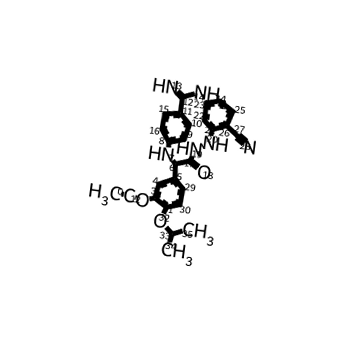 CCOc1cc(C(Nc2ccc(C(=N)N)cc2)C(=O)NNc2ccccc2C#N)ccc1OC(C)C